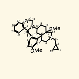 COc1cccc(C23CCN(CC4CC4)CC2(OC)CCC(N(CC(C)C)C(=O)c2ccccc2)C3)c1